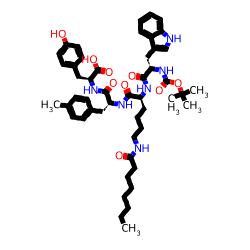 CCCCCCCC(=O)NCCCC[C@H](NC(=O)[C@H](Cc1c[nH]c2ccccc12)NC(=O)OC(C)(C)C)C(=O)N[C@H](Cc1ccc(C)cc1)C(=O)N[C@@H](Cc1ccc(O)cc1)C(=O)O